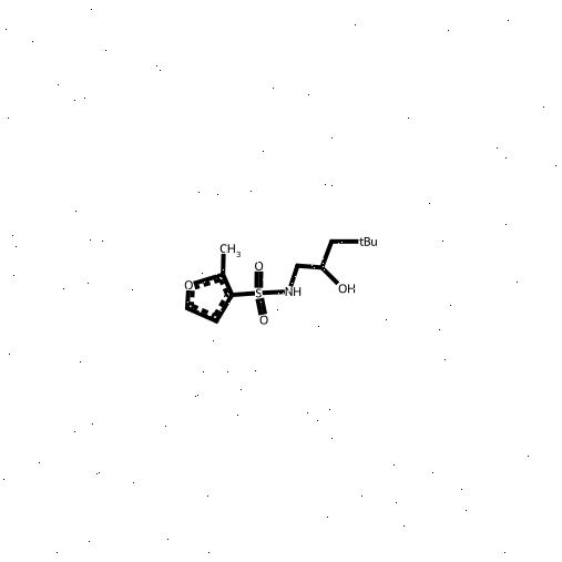 Cc1occc1S(=O)(=O)NCC(O)CC(C)(C)C